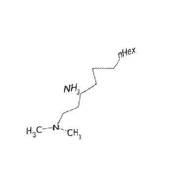 CCCCCCCCCCCCN(C)C.N